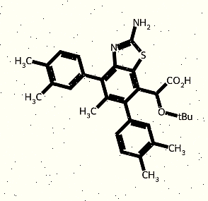 Cc1ccc(-c2c(C)c(-c3ccc(C)c(C)c3)c3nc(N)sc3c2C(OC(C)(C)C)C(=O)O)cc1C